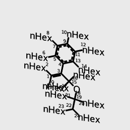 CCCCCCC(CCCCCC)=C(c1c(CCCCCC)c(CCCCCC)c(CCCCCC)c(CCCCCC)c1CCCCCC)C(CCCCCC)(CCCCCC)OC(CCCCCC)(CCCCCC)C(CCCCCC)CCCCCC